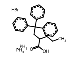 Br.CCCC(CC(c1ccccc1)(c1ccccc1)c1ccccc1)C(=O)O.P.P